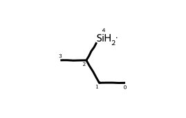 CCC(C)[SiH2]